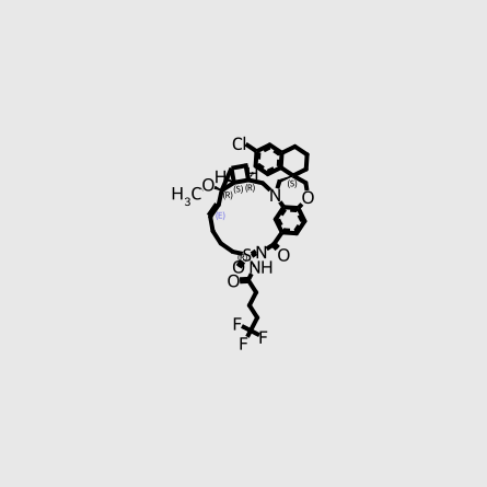 CO[C@@]12/C=C/CCC[S@@](=O)(NC(=O)CCCC(F)(F)F)=NC(=O)c3ccc4c(c3)N(C[C@@H]3CC1[C@H]32)C[C@@]1(CCCc2cc(Cl)ccc21)CO4